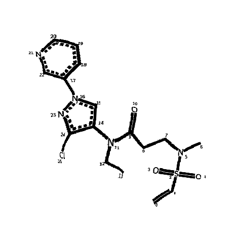 C=CS(=O)(=O)N(C)CCC(=O)N(CC)c1cn(-c2cccnc2)nc1Cl